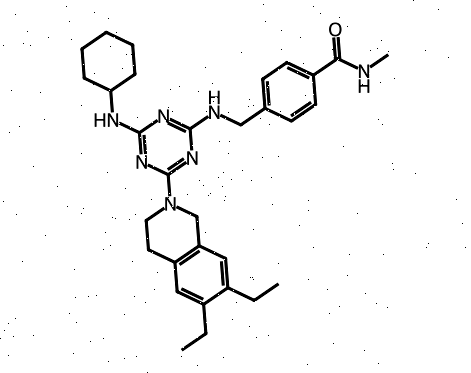 CCc1cc2c(cc1CC)CN(c1nc(NCc3ccc(C(=O)NC)cc3)nc(NC3CCCCC3)n1)CC2